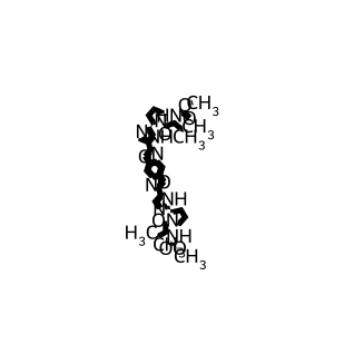 COC(=O)N[C@H](C(=O)N1CCC[C@H]1c1ncc(-c2nc3cc4oc(-c5cnc([C@@H]6CCCN6C(=O)[C@@H](NC(=O)OC)C(C)C)[nH]5)nc4cc3o2)[nH]1)C(C)C